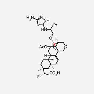 CC(=O)O[C@@H]1C[C@@]23COC[C@@](C)([C@@H]2CC[C@H]2C3=CC[C@@]3(C)[C@H](C(=O)O)[C@@](C)([C@H](C)C(C)C)CC[C@]23C)[C@H]1OCC(Nc1nc(N)n[nH]1)C(C)C